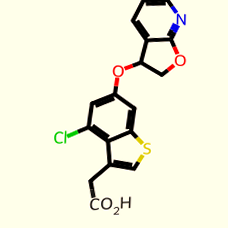 O=C(O)Cc1csc2cc(OC3COc4ncccc43)cc(Cl)c12